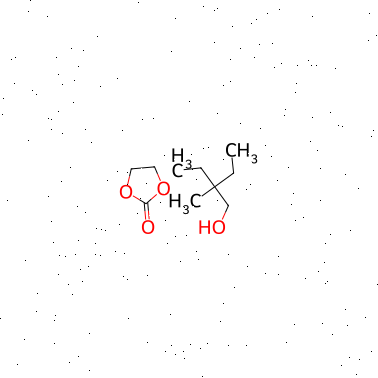 CCC(C)(CC)CO.O=C1OCCO1